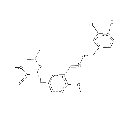 COc1ccc(CC(OC(C)C)C(=O)O)cc1C=NOCc1ccc(Cl)c(Cl)c1